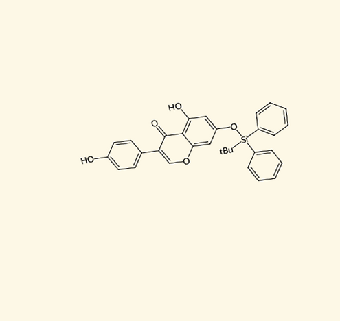 CC(C)(C)[Si](Oc1cc(O)c2c(=O)c(-c3ccc(O)cc3)coc2c1)(c1ccccc1)c1ccccc1